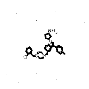 Cc1ccc(-c2cn([C@H]3CC[C@@H](N)C3)c3ccc(CN4CCN(Cc5ccccc5Cl)CC4)cc23)cc1